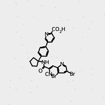 N#CC(=Cc1ncc(Br)cc1Br)C(=O)NC1(c2ccc(-c3ccc(C(=O)O)nc3)cc2)CCCC1